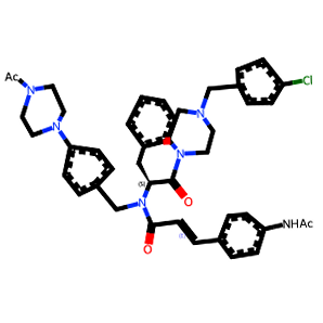 CC(=O)Nc1ccc(/C=C/C(=O)N(Cc2ccc(N3CCN(C(C)=O)CC3)cc2)[C@@H](Cc2ccccc2)C(=O)N2CCN(Cc3ccc(Cl)cc3)CC2)cc1